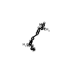 COc1cc2nn(C3CCN(CCCCN4CCC5(CC4)CCN(C(=O)c4ccc(OC)c(N6CCC(=O)NC6=O)c4)CC5)CC3)cc2cc1NC(=O)c1cccc(C(F)(F)F)n1